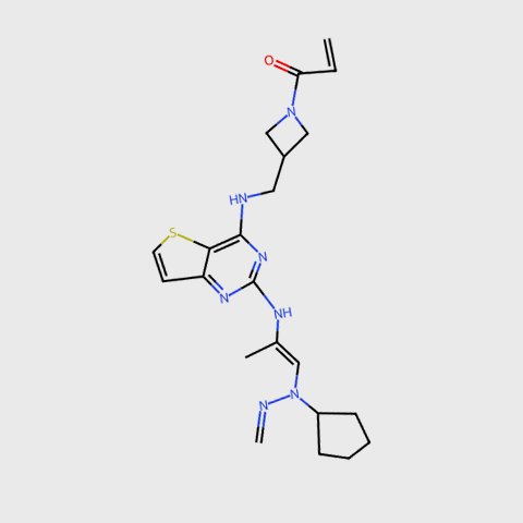 C=CC(=O)N1CC(CNc2nc(N/C(C)=C/N(N=C)C3CCCC3)nc3ccsc23)C1